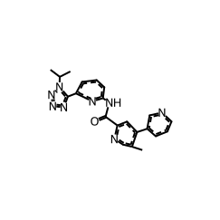 Cc1cnc(C(=O)Nc2cccc(-c3nnnn3C(C)C)n2)cc1-c1cccnc1